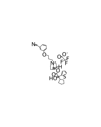 N#Cc1cccc(OCCC[N+]23CCC(CC2)[C@@H](OC(=O)[C@](O)(c2cccs2)C2CCCC2)C3)c1.O=C([O-])C(F)(F)F